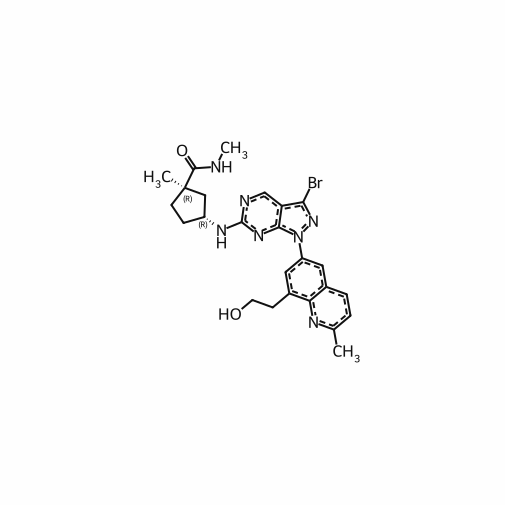 CNC(=O)[C@]1(C)CC[C@@H](Nc2ncc3c(Br)nn(-c4cc(CCO)c5nc(C)ccc5c4)c3n2)C1